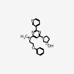 CN(CCOc1ccccc1)c1cc(N2CC[C@H](O)C2)nc(-c2cccnc2)n1